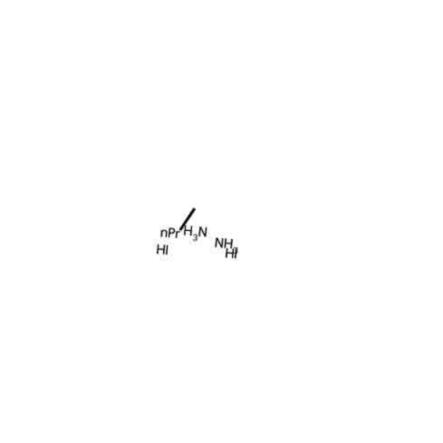 CCCC.I.I.N.N